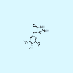 COc1cc(/C=C2\SC(=N)NC2=O)cc(OC)c1OC